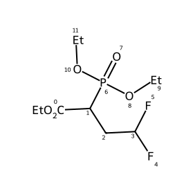 CCOC(=O)C(CC(F)F)P(=O)(OCC)OCC